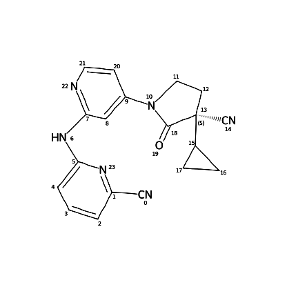 N#Cc1cccc(Nc2cc(N3CC[C@@](C#N)(C4CC4)C3=O)ccn2)n1